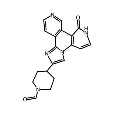 O=CN1CCC(c2cn3c4cc[nH]c(=O)c4c4cnccc4c3n2)CC1